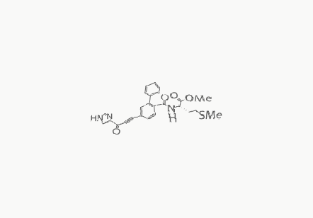 COC(=O)[C@H](CCSC)NC(=O)c1ccc(C#CC(=O)c2c[nH]cn2)cc1-c1ccccc1